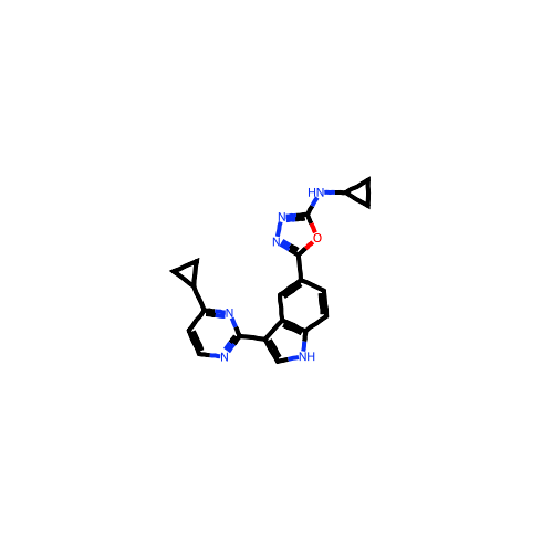 c1cc(C2CC2)nc(-c2c[nH]c3ccc(-c4nnc(NC5CC5)o4)cc23)n1